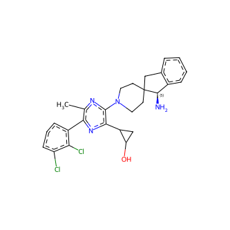 Cc1nc(N2CCC3(CC2)Cc2ccccc2[C@H]3N)c(C2CC2O)nc1-c1cccc(Cl)c1Cl